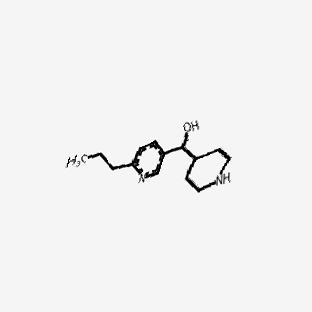 CCCc1ccc(C(O)C2CCNCC2)cn1